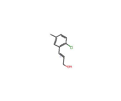 Cc1ccc(Cl)c(/C=C/CO)c1